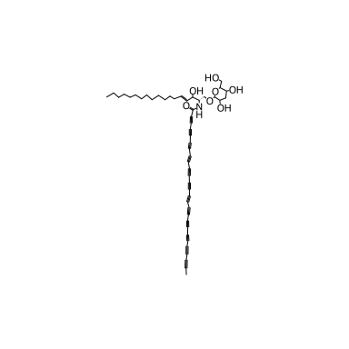 CC#CC#CC#CC#CC#CC#CC#CC#CC#CC#CC#CC#CC(=O)N[C@@H](COC1OC(CO)C(O)CC1O)[C@H](O)/C=C/CCCCCCCCCCCCC